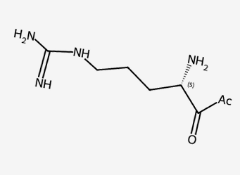 CC(=O)C(=O)[C@@H](N)CCCNC(=N)N